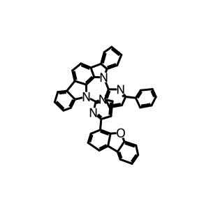 c1ccc(-c2cccc(-n3c4ccccc4c4ccc5c6ccccc6n(-c6nccc(-c7cccc8c7oc7ccccc78)n6)c5c43)n2)cc1